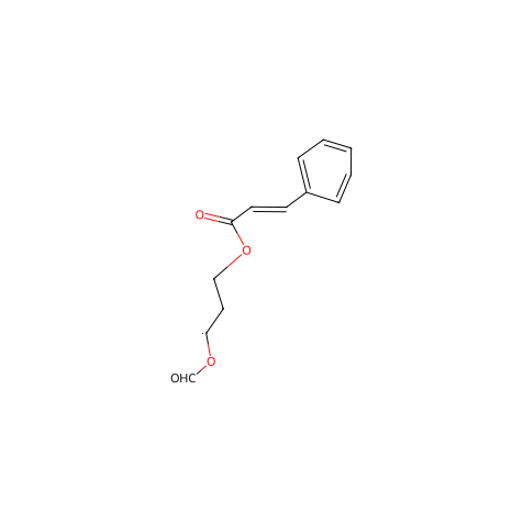 O=CO[CH]CCOC(=O)C=Cc1ccccc1